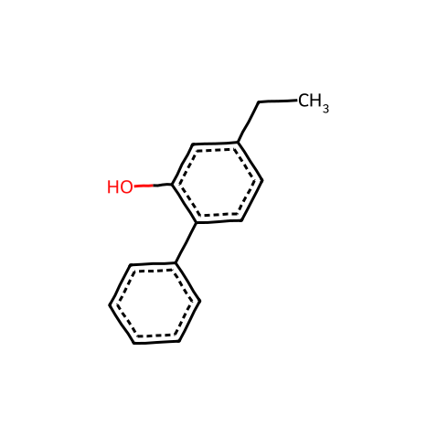 CCc1ccc(-c2ccccc2)c(O)c1